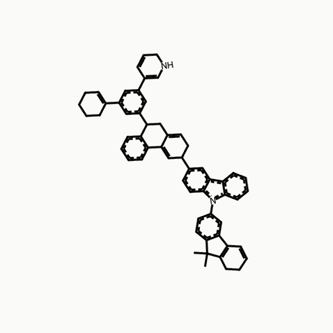 CC1(C)C2=C(C=CCC2)c2cc(-n3c4ccccc4c4cc(C5C=C6C(=CC5)CC(c5cc(C7=CNCC=C7)cc(C7=CCCCC7)c5)c5ccccc56)ccc43)ccc21